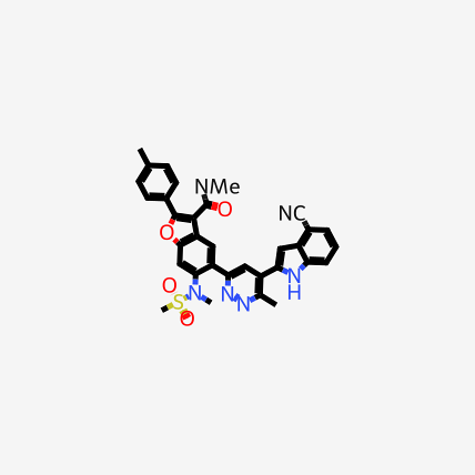 CNC(=O)c1c(-c2ccc(C)cc2)oc2cc(N(C)S(C)(=O)=O)c(-c3cc(-c4cc5c(C#N)cccc5[nH]4)c(C)nn3)cc12